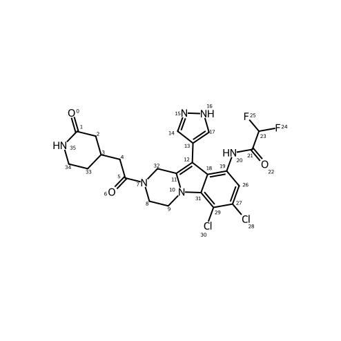 O=C1CC(CC(=O)N2CCn3c(c(-c4cn[nH]c4)c4c(NC(=O)C(F)F)cc(Cl)c(Cl)c43)C2)CCN1